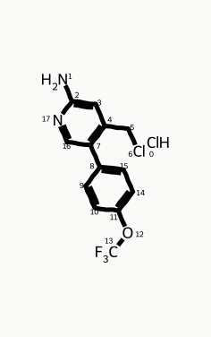 Cl.Nc1cc(CCl)c(-c2ccc(OC(F)(F)F)cc2)cn1